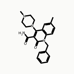 Cc1ccc2c(c1)c(N1CCN(C)CC1)c(C(N)=O)c(=O)n2Cc1ccccc1